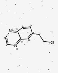 ClCCc1ccc2nccnc2c1